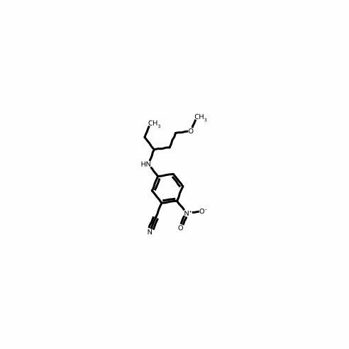 CCC(CCOC)Nc1ccc([N+](=O)[O-])c(C#N)c1